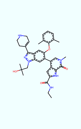 CCNC(=O)c1cc2c(-c3cc4c(cc3Oc3c(C)cccc3C)c(C3=CCNCC3)nn4CC(C)(C)O)cn(C)c(=O)c2[nH]1